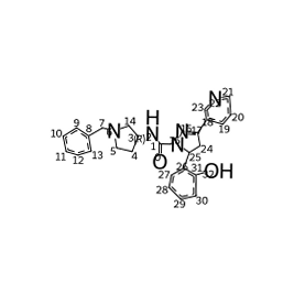 O=C(N[C@@H]1CCN(Cc2ccccc2)C1)N1N=C(c2cccnc2)CC1c1ccccc1O